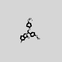 CC(C)Oc1ccc(C(COc2ccc(OC(F)(F)F)cc2)N2Cc3ccc(F)cc3C2=O)cc1